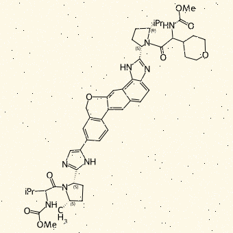 COC(=O)NC(C(=O)N1[C@@H](C)CC[C@H]1c1ncc(-c2ccc3c(c2)COc2cc4c(ccc5nc([C@@H]6CC[C@H](C(C)C)N6C(=O)C(NC(=O)OC)C6CCOCC6)[nH]c54)cc2-3)[nH]1)C(C)C